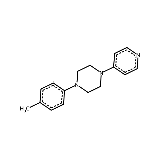 Cc1c[c]c(N2CCN(c3ccncc3)CC2)cc1